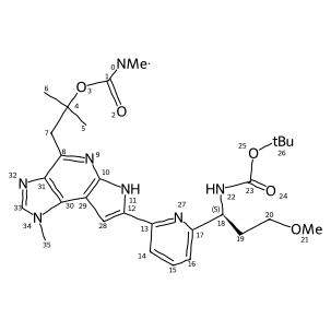 C[N]C(=O)OC(C)(C)Cc1nc2[nH]c(-c3cccc([C@H](CCOC)NC(=O)OC(C)(C)C)n3)cc2c2c1ncn2C